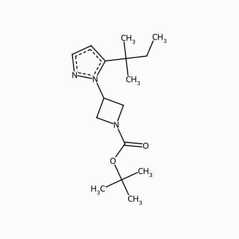 CCC(C)(C)c1ccnn1C1CN(C(=O)OC(C)(C)C)C1